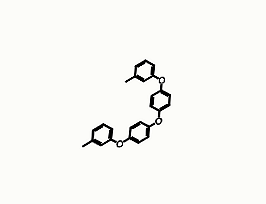 Cc1cccc(Oc2ccc(Oc3ccc(Oc4cccc(C)c4)cc3)cc2)c1